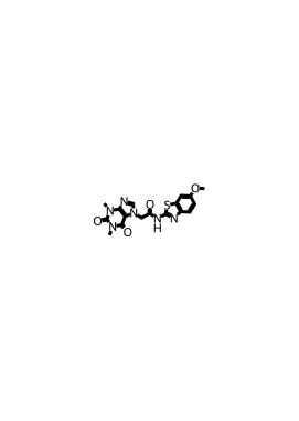 COc1ccc2nc(NC(=O)Cn3cnc4c3c(=O)n(C)c(=O)n4C)sc2c1